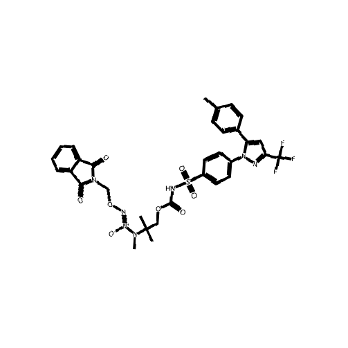 Cc1ccc(-c2cc(C(F)(F)F)nn2-c2ccc(S(=O)(=O)NC(=O)OCC(C)(C)N(C)/[N+]([O-])=N/OCN3C(=O)c4ccccc4C3=O)cc2)cc1